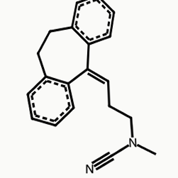 CN(C#N)CCC=C1c2ccccc2CCc2ccccc21